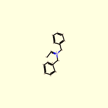 CC=[N+](Cc1ccccc1)Cc1ccccc1